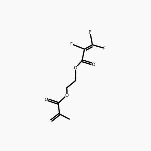 C=C(C)C(=O)OCCOC(=O)C(F)=C(F)F